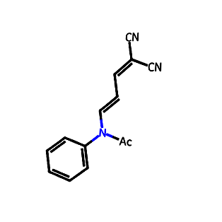 CC(=O)N(/C=C/C=C(C#N)C#N)c1ccccc1